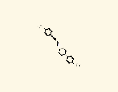 CCCc1ccc(C#C/C=C/[C@H]2CC[C@H](c3ccc(CCC)cc3)CC2)cc1